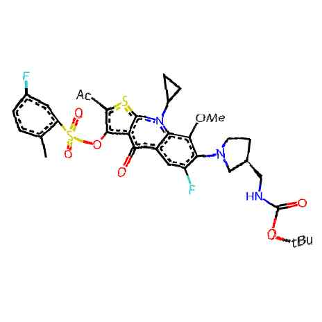 COc1c(N2CC[C@@H](CNC(=O)OC(C)(C)C)C2)c(F)cc2c(=O)c3c(OS(=O)(=O)c4cc(F)ccc4C)c(C(C)=O)sc3n(C3CC3)c12